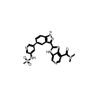 CN(C)C(=O)c1cncc2[nH]c(-c3n[nH]c4ccc(-c5cncc(NS(C)(=O)=O)c5)cc34)nc12